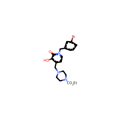 CCOC(=O)N1CCN(Cc2ccn(Cc3cccc(Br)c3)c(=O)c2O)CC1